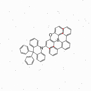 c1ccc(-c2cccc(-c3ccccc3)c2B2c3ccccc3Oc3cc(N4c5ccccc5C(c5ccccc5)(c5ccccc5)c5ccccc54)ccc32)cc1